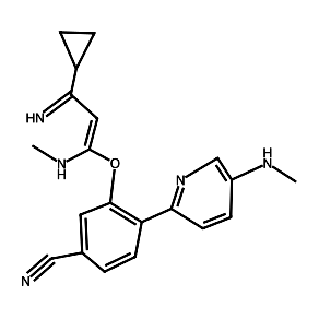 CN/C(=C\C(=N)C1CC1)Oc1cc(C#N)ccc1-c1ccc(NC)cn1